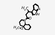 COC12CCCCC1N(C(=O)CC(C)c1c[nH]c3ncccc13)CCC2